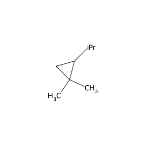 CC(C)C1CC1(C)C